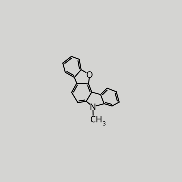 Cn1c2ccccc2c2c3oc4ccccc4c3ccc21